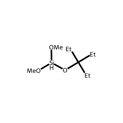 CCC(CC)(CC)O[SiH](OC)OC